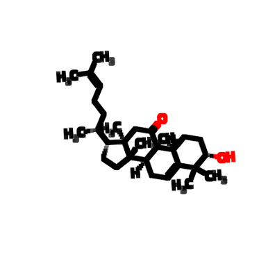 CC(C)=CCC[C@@H](C)[C@H]1CC[C@@]2(C)[C@@H]3CC=C4[C@@H](CC[C@H](O)C4(C)C)[C@]3(C)C(=O)C[C@]12C